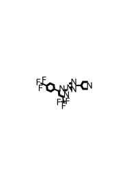 FC(F)(F)c1ccc(-c2cc(C(F)(F)F)nc(-n3cnc(-c4ccncc4)n3)n2)cc1